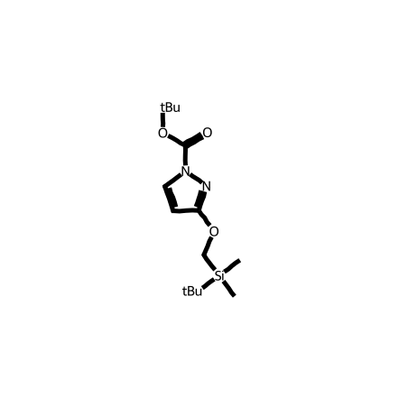 CC(C)(C)OC(=O)n1ccc(OC[Si](C)(C)C(C)(C)C)n1